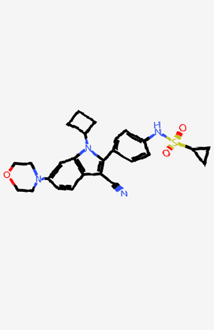 N#Cc1c(-c2ccc(NS(=O)(=O)C3CC3)cc2)n(C2CCC2)c2cc(N3CCOCC3)ccc12